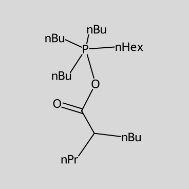 CCCCCCP(CCCC)(CCCC)(CCCC)OC(=O)C(CCC)CCCC